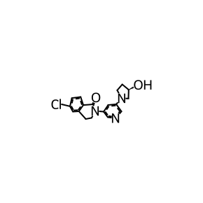 O=C1c2ccc(Cl)cc2CCN1c1cncc(N2CC[C@@H](O)C2)c1